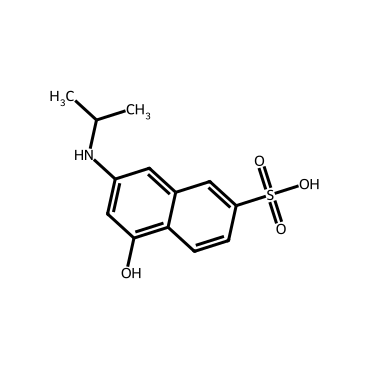 CC(C)Nc1cc(O)c2ccc(S(=O)(=O)O)cc2c1